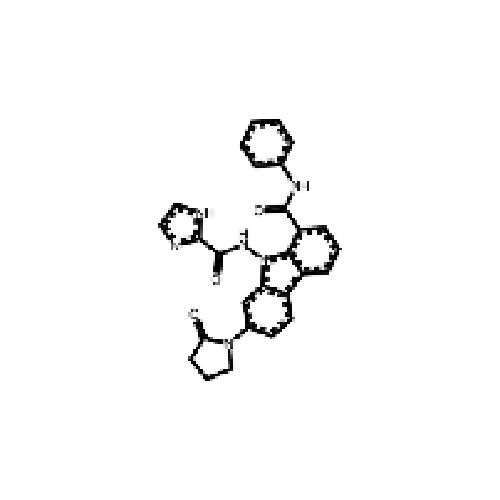 O=C(Nn1c2cc(N3CCCC3=O)ccc2c2cccc(C(=O)Nc3ccccc3)c21)c1ncc[nH]1